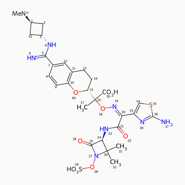 CN[C@H]1C[C@H](NC(=N)c2ccc3c(c2)CC[C@H](C(C)(O/N=C(\C(=O)N[C@@H]2C(=O)N(OS(=O)(=O)O)C2(C)C)c2csc(N)n2)C(=O)O)O3)C1